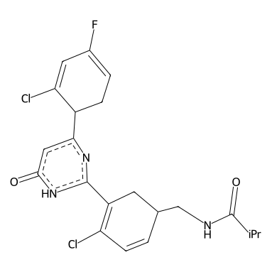 CC(C)C(=O)NCC1C=CC(Cl)=C(c2nc(C3CC=C(F)C=C3Cl)cc(=O)[nH]2)C1